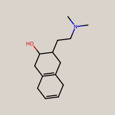 CN(C)CCC1CC2=C(CC=CC2)CC1O